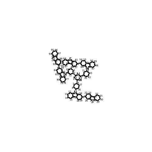 c1cc(-c2nc(-c3ccc(-n4c5ccccc5c5ccc(-c6ccc7c(c6)sc6ccccc67)cc54)cc3)nc(-c3cccc(-n4c5ccccc5c5ccc(-c6ccc7c(c6)sc6ccccc67)cc54)c3)n2)cc(-n2c3ccccc3c3ccc(-c4ccc5c(c4)sc4ccccc45)cc32)c1